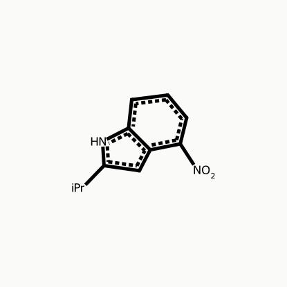 CC(C)c1cc2c([N+](=O)[O-])cccc2[nH]1